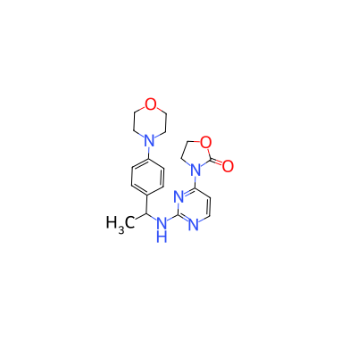 CC(Nc1nccc(N2CCOC2=O)n1)c1ccc(N2CCOCC2)cc1